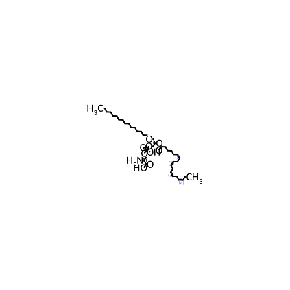 CC/C=C\C/C=C\C/C=C\C/C=C\CCCCC(=O)O[C@H](COCCCCCCCCCCCCCCCC)COP(=O)(O)OC[C@H](N)C(=O)O